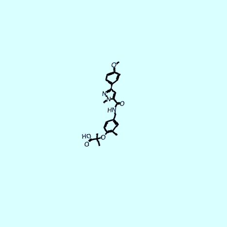 COc1ccc(-c2cc(C(=O)NCc3ccc(OC(C)(C)C(=O)O)c(C)c3)n(C)n2)cc1